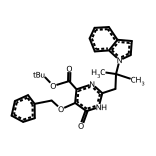 CC(C)(C)OC(=O)c1nc(CC(C)(C)n2ccc3ccccc32)[nH]c(=O)c1OCc1ccccc1